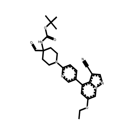 CCOc1cc(-c2ccc(N3CCC(C=O)(NC(=O)OC(C)(C)C)CC3)nc2)c2c(C#N)cnn2c1